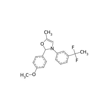 COc1ccc(C2OC(C)=CN2c2cccc(C(C)(F)F)c2)cc1